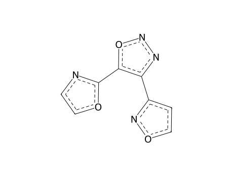 c1coc(-c2onnc2-c2ccon2)n1